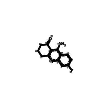 Nc1c2c(nc3cc(F)ccc13)CCCC2=O